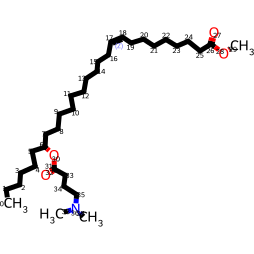 CCCCCCC(CCCCCCCCCC/C=C\CCCCCCCC(=O)OC)OC(=O)CCCN(C)C